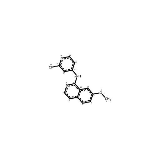 COc1ccc2ccnc(Nc3ccnc(Cl)c3)c2c1